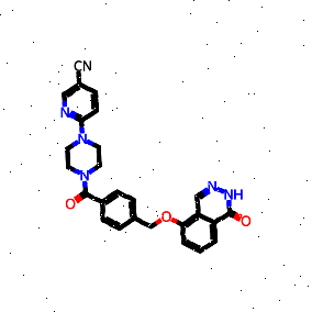 N#Cc1ccc(N2CCN(C(=O)c3ccc(COc4cccc5c(=O)[nH]ncc45)cc3)CC2)nc1